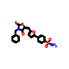 NS(=O)(=O)c1ccc(-c2ccc(/C=C3/SC(=S)N(Cc4ccccc4)C3=O)o2)cc1